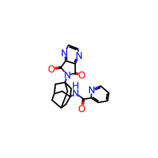 O=C(NC12CC3CC(C1)CC(N1C(=O)c4nccnc4C1=O)(C3)C2)c1ccccn1